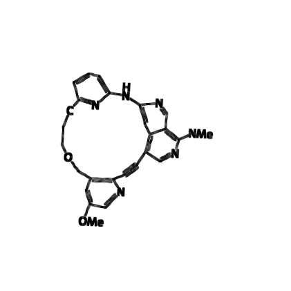 CNc1ncc2c3cc(ncc13)Nc1cccc(n1)CCCOCc1cc(OC)cnc1C#C2